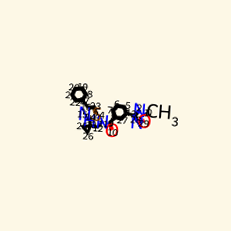 Cc1nc(-c2cccc(C(=O)NCC3(c4nc(-c5ccccc5)cs4)CC3)c2)no1